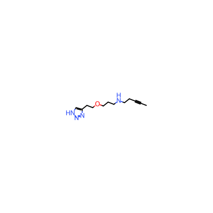 CC#CCCNCCCOCCc1c[nH]nn1